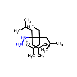 CCC(CC(C)C)(CC(C)C)C(CC(C)C)(CC(C)C)NN